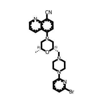 C[C@@H]1CN(c2ccc(C#N)c3ncccc23)C[C@H](CN2CCN(c3cccc(Br)n3)CC2)O1